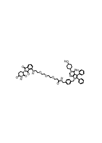 N=c1c2c(-c3ccccc3)c(-c3ccccc3)n(Cc3ccc(CNC(=O)CCOCCOCCOCCNc4cccc5c4C(=O)N(C4CCC(=O)NC4=O)C5=O)cc3)c2ncn1C1CCC(O)CC1